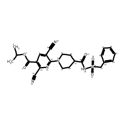 CC(C)OC(=O)c1cc(C#N)c(N2CCC(C(=O)NS(=O)(=O)Cc3ccccc3)CC2)nc1C#N